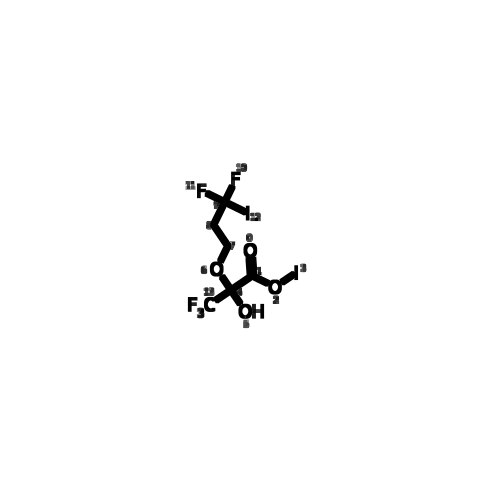 O=C(OI)C(O)(OCCC(F)(F)I)C(F)(F)F